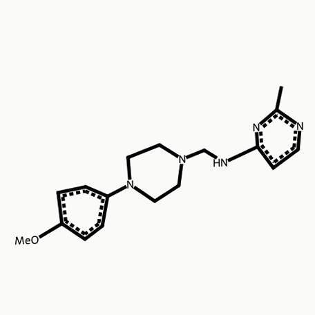 COc1ccc(N2CCN(CNc3ccnc(C)n3)CC2)cc1